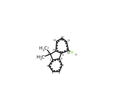 CC1(C)c2ccccc2-c2c(F)cccc21